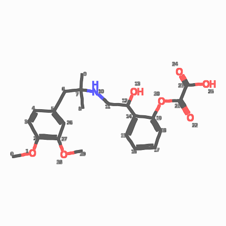 COc1ccc(CC(C)(C)NCC(O)c2ccccc2OC(=O)C(=O)O)cc1OC